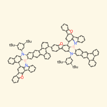 CC(C)(C)c1cc(N2c3cc4cc5c(cc4cc3B3c4c2cc2ccccc2c4-c2cc4c6ccccc6oc4c4c6ccccc6n3c24)c2ccccc2c2c(-c3ccc4c(c3)oc3c6c7c(cc34)N(c3cc(C(C)(C)C)cc(C(C)(C)C)c3)c3cc4cc8c9ccccc9c9ccccc9c8cc4cc3B7n3c4ccccc4c4c7oc8ccccc8c7cc-6c43)cccc52)cc(C(C)(C)C)c1